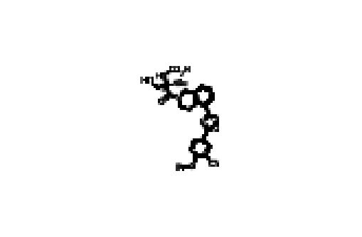 CC(C)Oc1ccc(-c2nc(-c3cccc4c3CCN(C(=O)[C@@](CO)(NC(=O)O)C(C)(C)C)C4)no2)cc1C#N